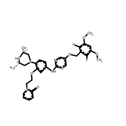 COc1cc(OC)c(F)c(COc2cnc(Nc3ccc(N4C[C@@H](C)N[C@@H](C)C4)c(OCCn4ccccc4=O)c3)nc2)c1F